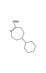 COC1=NCCC(C2CCCCC2)CC1